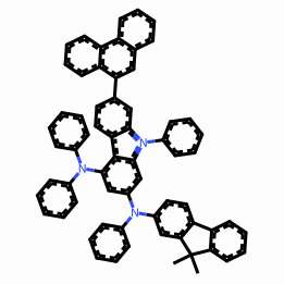 CC1(C)c2ccccc2-c2ccc(N(c3ccccc3)c3cc(N(c4ccccc4)c4ccccc4)c4c5ccc(-c6cc7ccccc7c7ccccc67)cc5n(-c5ccccc5)c4c3)cc21